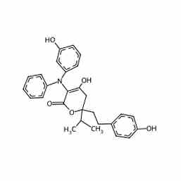 CC(C)C1(CCc2ccc(O)cc2)CC(O)=C(N(c2ccccc2)c2cccc(O)c2)C(=O)O1